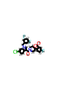 O=C1OC2(CCN(C(=O)c3cn(Cc4cc(F)cc(F)c4)c4cc(Cl)ccc34)CC2)c2ccc(F)cc21